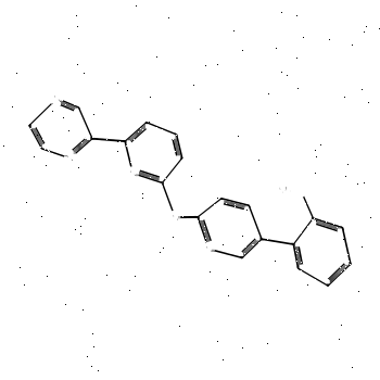 COc1ccccc1-c1ccc(Nc2cccc(-c3cnccn3)n2)nc1